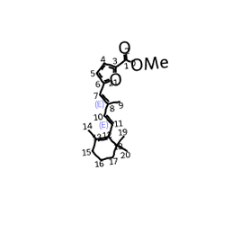 COC(=O)c1ccc(/C=C(C)/C=C/C2=C(C)CCCC2(C)C)o1